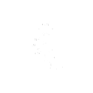 O=C(Cc1ccccc1)Nc1nnc(-c2ccncc2)s1